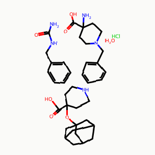 Cl.NC(=O)NCc1ccccc1.NC1(C(=O)O)CCN(Cc2ccccc2)CC1.O.O=C(O)C1(OC23CC4CC(CC(C4)C2)C3)CCNCC1